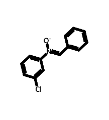 [O-][N+](=Cc1ccccc1)c1cccc(Cl)c1